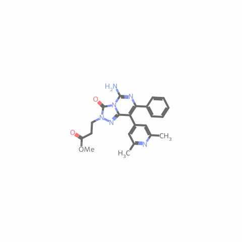 COC(=O)CCn1nc2c(-c3cc(C)nc(C)c3)c(-c3ccccc3)nc(N)n2c1=O